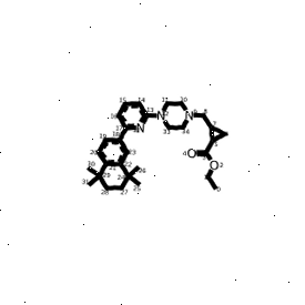 CCOC(=O)C1CC1CN1CCN(c2cccc(-c3ccc4c(c3)C(C)(C)CCC4(C)C)n2)CC1